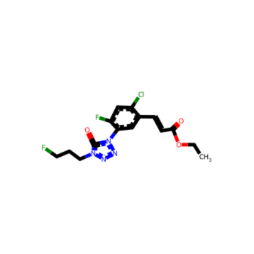 CCOC(=O)/C=C/c1cc(-n2nnn(CCCF)c2=O)c(F)cc1Cl